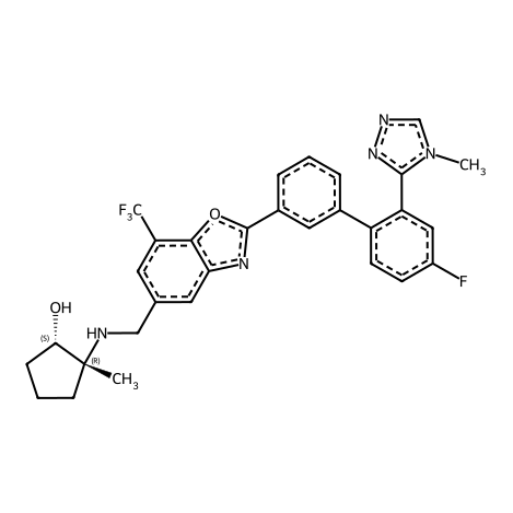 Cn1cnnc1-c1cc(F)ccc1-c1cccc(-c2nc3cc(CN[C@]4(C)CCC[C@@H]4O)cc(C(F)(F)F)c3o2)c1